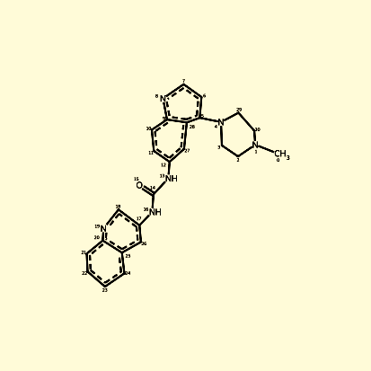 CN1CCN(c2ccnc3ccc(NC(=O)Nc4cnc5ccccc5c4)cc23)CC1